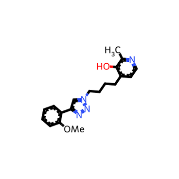 COc1ccccc1-c1cn(CCCCc2ccnc(C)c2O)nn1